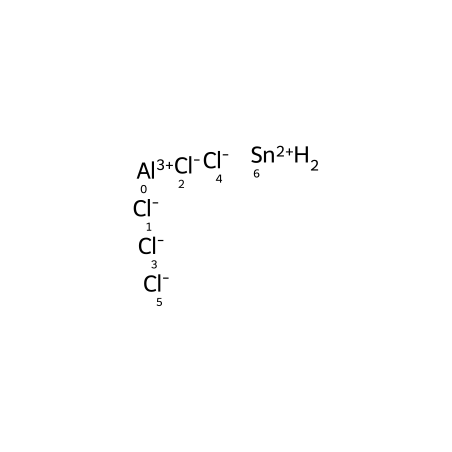 [Al+3].[Cl-].[Cl-].[Cl-].[Cl-].[Cl-].[SnH2+2]